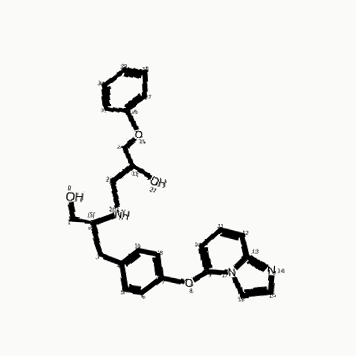 OC[C@H](Cc1ccc(Oc2cccc3nccn23)cc1)NCC(O)COc1ccccc1